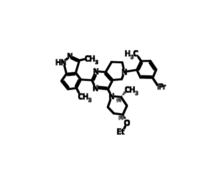 CCO[C@@H]1CCN(c2nc(-c3c(C)ccc4[nH]nc(C)c34)nc3c2CN(c2cc(C(C)C)ccc2C)CC3)[C@H](C)C1